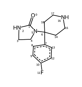 O=C1NCCN1C1(c2ccc(F)cc2)CCNCC1